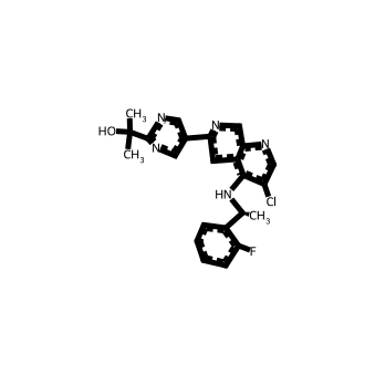 C[C@H](Nc1c(Cl)cnc2cnc(-c3cnc(C(C)(C)O)nc3)cc12)c1ccccc1F